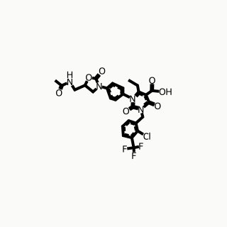 CCc1c(C(=O)O)c(=O)n(Cc2cccc(C(F)(F)F)c2Cl)c(=O)n1-c1ccc(N2CC(CNC(C)=O)OC2=O)cc1